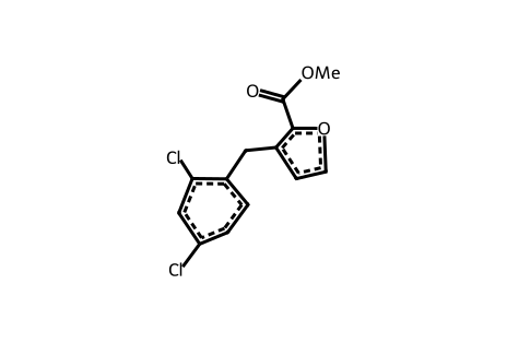 COC(=O)c1occc1Cc1ccc(Cl)cc1Cl